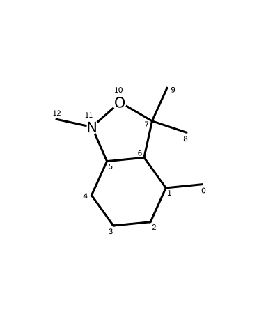 CC1CCCC2C1C(C)(C)ON2C